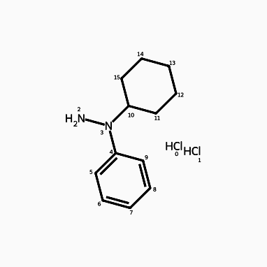 Cl.Cl.NN(c1ccccc1)C1CCCCC1